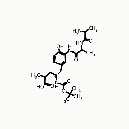 CC(N)C(=O)NC(C)C(=O)Nc1cc(C[C@@H](CC(C)C(=O)O)NC(=O)OC(C)(C)C)ccc1O